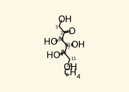 C.O=C(CO)[C@@H](O)[C@H](O)[C@H](O)CO